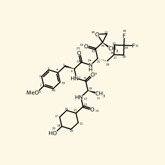 COc1ccc(C[C@H](NC(=O)[C@@H](C)NC(=O)C2CCC(O)CC2)C(=O)N[C@@H](CC2CC(F)(F)C2)C(=O)[C@@]2(C)CO2)cc1